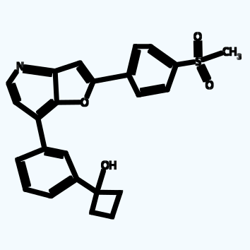 CS(=O)(=O)c1ccc(-c2cc3nccc(-c4cccc(C5(O)CCC5)c4)c3o2)cc1